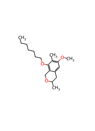 CCCCCCCOc1c(C)c(OC)cc2c1COC(C)C2